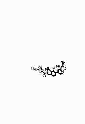 CC(C)(C)c1nc(C(=O)NCc2ccc(-c3ccnc(NC(=O)C4CC4)c3)c(F)c2C2CC2)no1